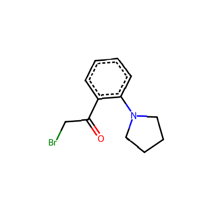 O=C(CBr)c1ccccc1N1CCCC1